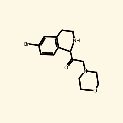 O=C(CN1CCOCC1)C1NCCc2cc(Br)ccc21